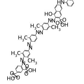 Cc1cc(N=Nc2cc(C)c(N=Nc3c(S(=O)(=O)O)cc4cc(Nc5ccccc5)ccc4c3O)cc2C)ccc1N=Nc1cc(C)c(N=Nc2ccc(S(=O)(=O)O)cc2S(=O)(=O)O)c(C)c1